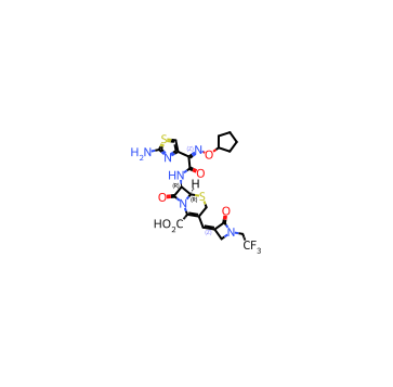 Nc1nc(/C(=N/OC2CCCC2)C(=O)N[C@@H]2C(=O)N3C(C(=O)O)=C(/C=C4/CN(CC(F)(F)F)C4=O)CS[C@H]23)cs1